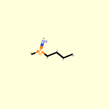 CCCC[PH](C)=N